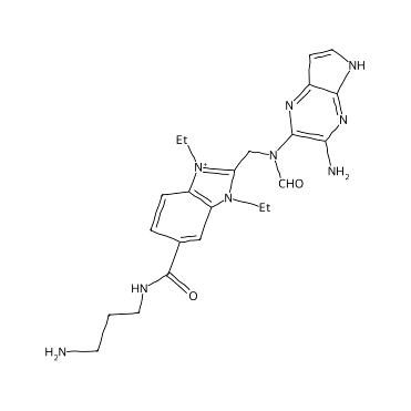 CCn1c(CN(C=O)c2nc3cc[nH]c3nc2N)[n+](CC)c2ccc(C(=O)NCCCN)cc21